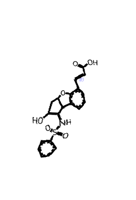 O=C(O)/C=C/c1cccc2c1OC1CC(O)C(NS(=O)(=O)c3ccccc3)C21